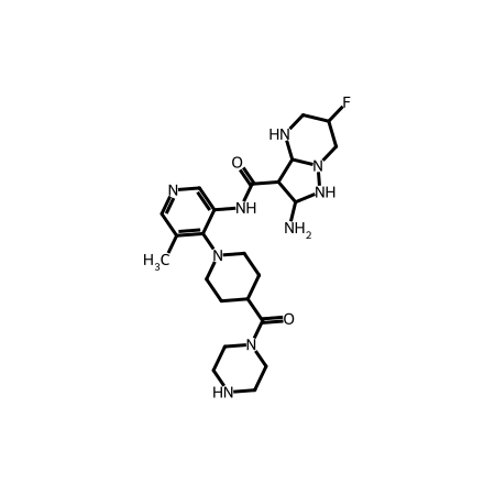 Cc1cncc(NC(=O)C2C(N)NN3CC(F)CNC23)c1N1CCC(C(=O)N2CCNCC2)CC1